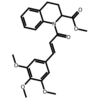 COC(=O)C1CCc2ccccc2N1C(=O)C=Cc1cc(OC)c(OC)c(OC)c1